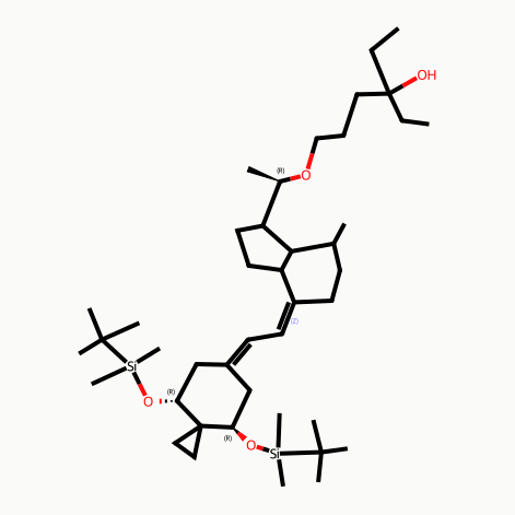 CCC(O)(CC)CCCO[C@H](C)C1CCC2/C(=C\C=C3C[C@@H](O[Si](C)(C)C(C)(C)C)C4(CC4)[C@H](O[Si](C)(C)C(C)(C)C)C3)CCC(C)C21